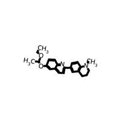 CCOC(C)Oc1ccc2nc(-c3ccc4c(c3)CCCN4C)ccc2c1